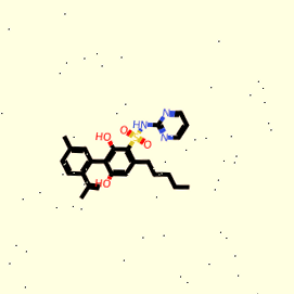 C=C(C)c1ccc(C)cc1-c1c(O)cc(CCCCC)c(S(=O)(=O)Nc2ncccn2)c1O